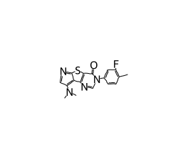 Cc1ccc(-n2cnc3c(sc4nccc(N(C)C)c43)c2=O)cc1F